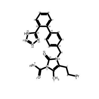 CCCC(=O)n1c(C)c(CCC(C)C)n(Cc2ccc(-c3ccccc3-c3nnn[nH]3)cc2)c1=O